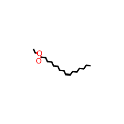 CCCCCC/C=C\CCCCCCCC(=O)OCC